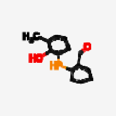 Cc1cccc(Pc2ccccc2C=O)c1O